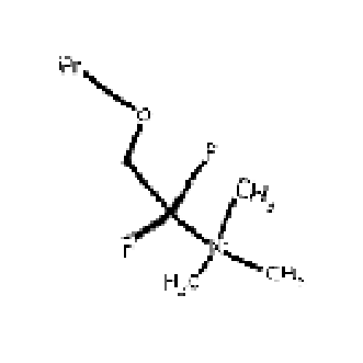 CC(C)OCC(F)(F)[N+](C)(C)C